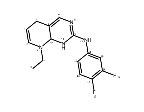 CCN1C=CCC2=CN=C(Nc3ccc(F)c(F)c3)NC21